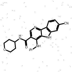 CC(C)Nc1c(C(=O)NC2CCOCC2)cnc2c1[nH]c1cc(C#N)ccc12